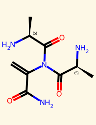 C=C(C(N)=O)N(C(=O)[C@H](C)N)C(=O)[C@H](C)N